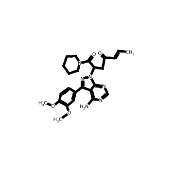 CC=CC(=O)CC(C(=O)N1CCCCC1)n1nc(-c2ccc(OC)c(OC)c2)c2c(N)ncnc21